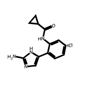 Cl.Nc1ncc(-c2ccccc2NC(=O)C2CC2)[nH]1